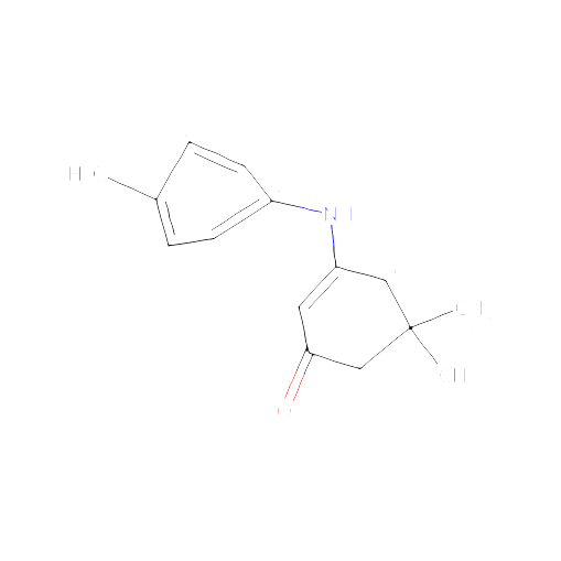 Cc1ccc(NC2=CC(=O)CC(C)(C)C2)cc1